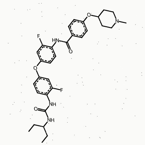 CCC(CC)NC(=O)Nc1ccc(Oc2ccc(NC(=O)c3ccc(OC4CCN(C)CC4)cc3)c(F)c2)cc1F